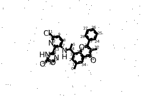 Cc1cc(C(C)Nc2ccc(Cl)nc2-c2noc(=O)[nH]2)c2oc(-c3ccccc3)c(C)c(=O)c2c1